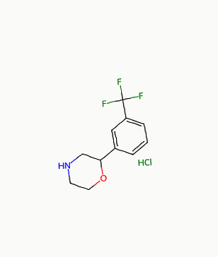 Cl.FC(F)(F)c1cccc(C2CNCCO2)c1